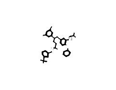 Cc1cc(C)cc(C(CCC(C)NC(=O)c2cccc(C(C)(C)C)c2)Cc2ccc(Oc3ccccc3)c(NC(=O)C(C)C)c2)c1